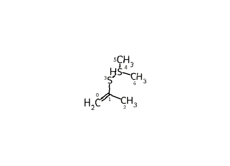 C=C(C)S[SH](C)C